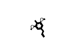 C=CCc1cc(OC)c(C)c(OC)c1